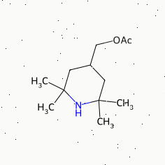 CC(=O)OCC1CC(C)(C)NC(C)(C)C1